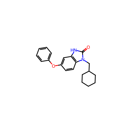 O=c1[nH]c2cc(Oc3ccccc3)ccc2n1CC1CCCCC1